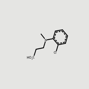 CN(CCC(=O)O)c1ccccc1Cl